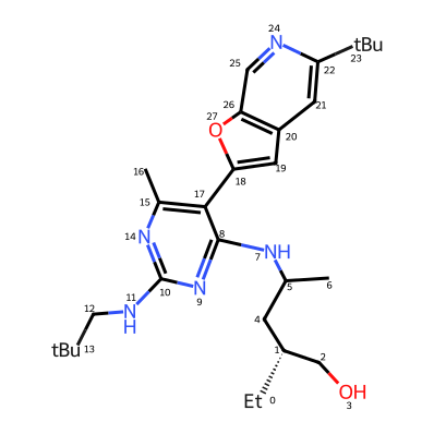 CC[C@@H](CO)CC(C)Nc1nc(NCC(C)(C)C)nc(C)c1-c1cc2cc(C(C)(C)C)ncc2o1